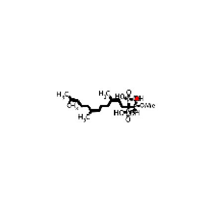 COP(=O)(O)C(CC=C(C)CCC=C(C)CCC=C(C)C)(P(=O)(O)O)P(=O)(O)O